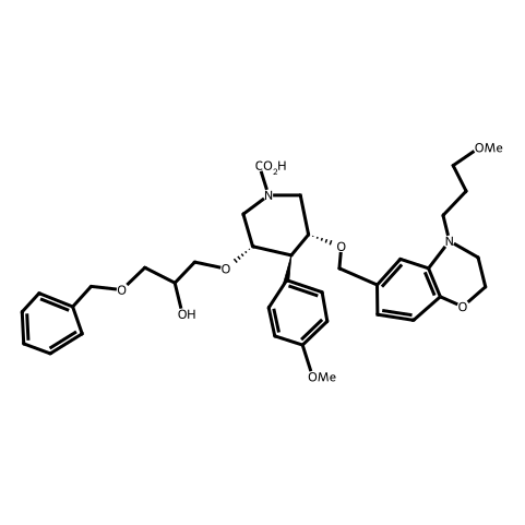 COCCCN1CCOc2ccc(CO[C@H]3CN(C(=O)O)C[C@@H](OCC(O)COCc4ccccc4)[C@@H]3c3ccc(OC)cc3)cc21